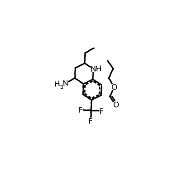 CCC1CC(N)c2cc(C(F)(F)F)ccc2N1.CCCOC=O